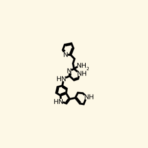 NC1(CCc2ccccn2)N=C(Nc2ccc3[nH]cc(C4=CCNCC4)c3c2)C=CN1